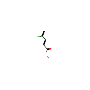 C=C(Cl)/C=C/C(=O)OC